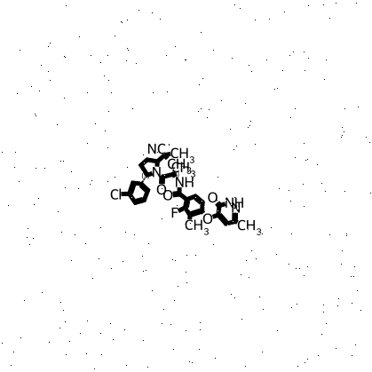 Cc1cc(Oc2ccc(C(=O)N[C@H](C)C(=O)N3C(C(C)(C)C#N)CC[C@H]3c3cccc(Cl)c3)c(F)c2C)c(=O)[nH]n1